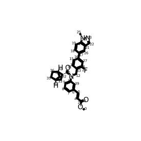 COC(=O)/C=C/c1cccc(N(Cc2ccc(-c3ccc4c(cnn4C)c3)cc2F)C(=O)[C@@H]2C[C@@H]3CC[C@H]2C3)c1